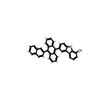 N#Cc1cccc2c1oc1ccc(-c3c4ccccc4c(-c4ccc5ccccc5c4)c4ccccc34)cc12